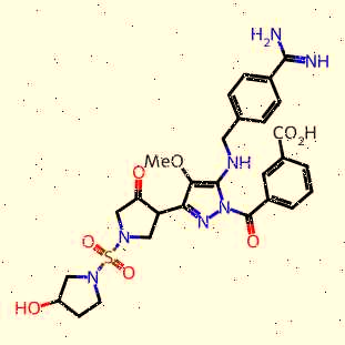 COc1c(C2CN(S(=O)(=O)N3CCC(O)C3)CC2=O)nn(C(=O)c2cccc(C(=O)O)c2)c1NCc1ccc(C(=N)N)cc1